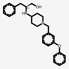 OC[C@H](Cc1ccccc1)NC1CCN(Cc2cccc(Oc3ccccc3)c2)CC1